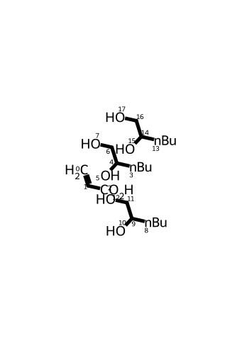 C=CC(=O)O.CCCCC(O)CO.CCCCC(O)CO.CCCCC(O)CO